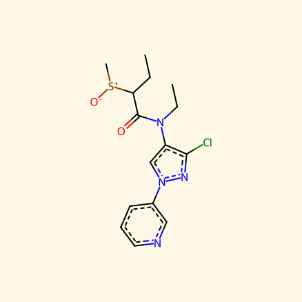 CCC(C(=O)N(CC)c1cn(-c2cccnc2)nc1Cl)[S+](C)[O-]